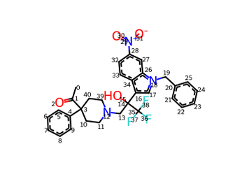 CC(=O)C1(c2ccccc2)CCN(CC(O)(c2cn(Cc3ccccc3)c3cc([N+](=O)[O-])ccc23)C(F)(F)F)CC1